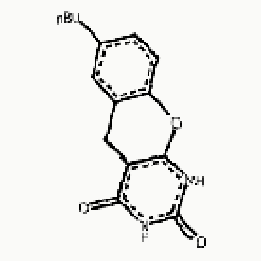 CCCCc1ccc2c(c1)Cc1c([nH]c(=O)[nH]c1=O)O2